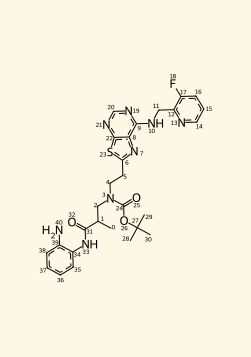 CC(CN(CCc1nc2c(NCc3ncccc3F)ncnc2s1)C(=O)OC(C)(C)C)C(=O)Nc1ccccc1N